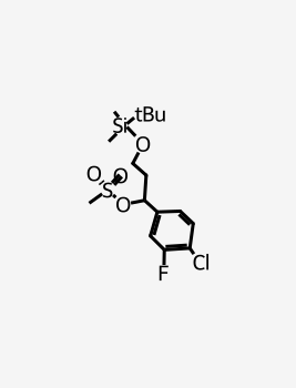 CC(C)(C)[Si](C)(C)OCCC(OS(C)(=O)=O)c1ccc(Cl)c(F)c1